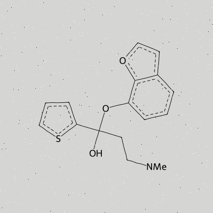 CNCCC(O)(Oc1cccc2ccoc12)c1cccs1